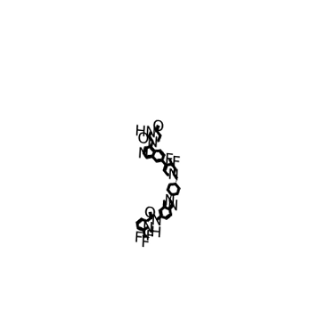 O=C1CCN(c2cncc3cc(C4=CCN(C[C@H]5CC[C@H](n6cc7cc(NC(=O)c8cccc(C(F)(F)F)n8)ccc7n6)CC5)CC4(F)F)ccc23)C(=O)N1